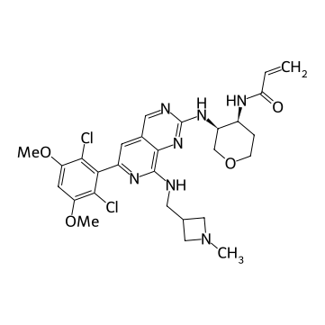 C=CC(=O)N[C@H]1CCOC[C@H]1Nc1ncc2cc(-c3c(Cl)c(OC)cc(OC)c3Cl)nc(NCC3CN(C)C3)c2n1